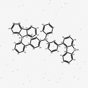 c1ccc(N(c2ccc(-c3ccccc3-n3c4ccccc4c4ccccc43)cc2)c2cccc(-c3cccc4oc5ccccc5c34)c2)cc1